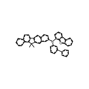 CC1(C)c2cc3cc(N(c4cccc(-c5ccccc5)c4)c4cccc5c4oc4ccccc45)ccc3cc2-c2ccc3ccccc3c21